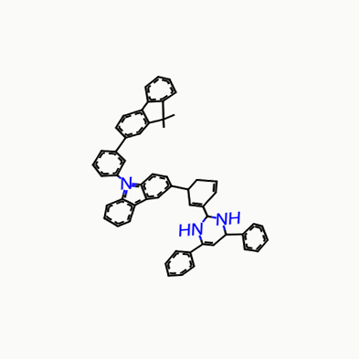 CC1(C)c2ccccc2-c2ccc(-c3cccc(-n4c5ccccc5c5cc(C6C=C(C7NC(c8ccccc8)=CC(c8ccccc8)N7)C=CC6)ccc54)c3)cc21